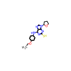 CCOc1ccc(Nc2nc(S)nc3c2ncn3C2CCCO2)cc1